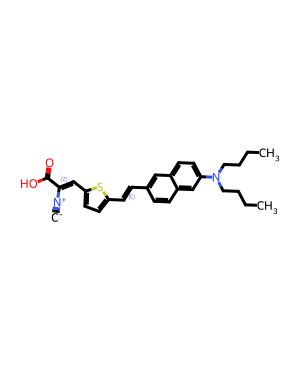 [C-]#[N+]/C(=C\c1ccc(/C=C/c2ccc3cc(N(CCCC)CCCC)ccc3c2)s1)C(=O)O